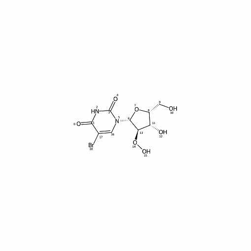 O=c1[nH]c(=O)n([C@@H]2O[C@H](CO)[C@H](O)[C@H]2OO)cc1Br